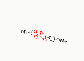 CCCC1COC(C2COC(c3ccc(OC)cc3)CO2)OC1